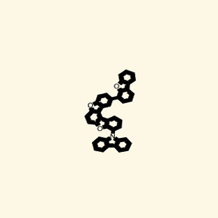 c1ccc2c(c1)oc1c(-c3ccc4oc5ccc6oc7c(-n8c9ccccc9c9ccccc98)cccc7c6c5c4c3)cccc12